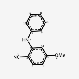 COc1ccc(C#N)c(Nc2ccccc2)c1